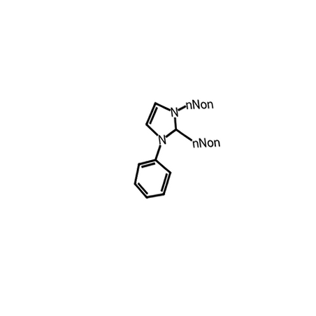 CCCCCCCCCC1N(CCCCCCCCC)C=CN1c1ccccc1